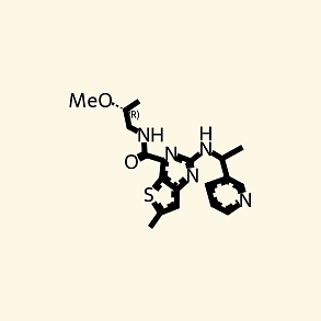 CO[C@H](C)CNC(=O)c1nc(NC(C)c2cccnc2)nc2cc(C)sc12